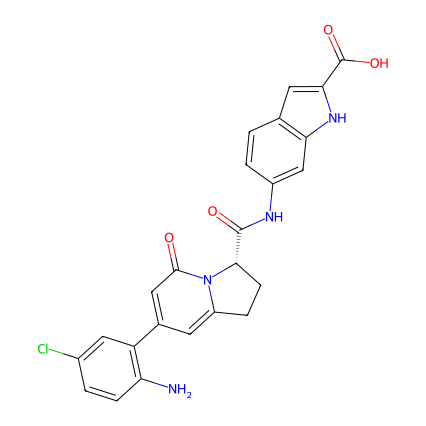 Nc1ccc(Cl)cc1-c1cc2n(c(=O)c1)[C@H](C(=O)Nc1ccc3cc(C(=O)O)[nH]c3c1)CC2